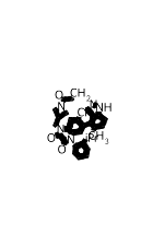 C=CC(=O)N1CC(Cn2c(=O)c(=O)n(-c3ccccc3C(C)C)c3cc(-c4c(C)ccc5[nH]ncc45)c(Cl)cc32)C1